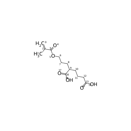 C=C(C)C(=O)OCCCC(CCCC(=O)O)C(=O)O